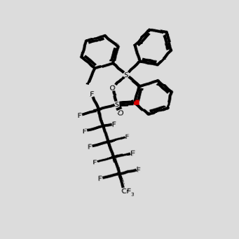 Cc1ccccc1S(OS(=O)(=O)C(F)(F)C(F)(F)C(F)(F)C(F)(F)C(F)(F)C(F)(F)F)(c1ccccc1)c1ccccc1